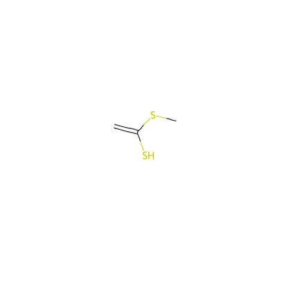 C=C(S)SC